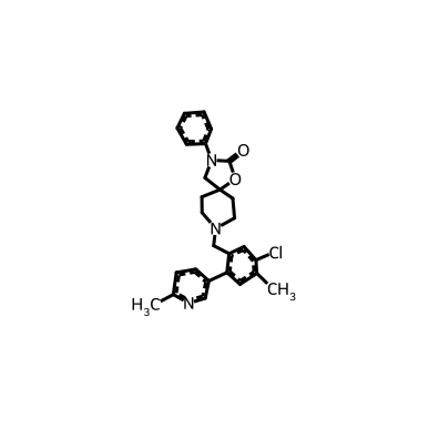 Cc1ccc(-c2cc(C)c(Cl)cc2CN2CCC3(CC2)CN(c2ccccc2)C(=O)O3)cn1